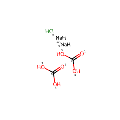 Cl.O=C(O)O.O=C(O)O.[NaH].[NaH]